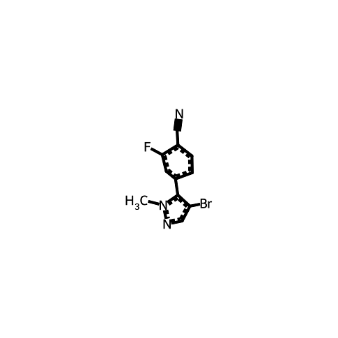 Cn1ncc(Br)c1-c1ccc(C#N)c(F)c1